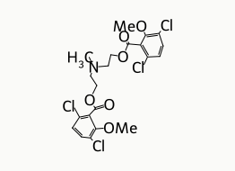 COc1c(Cl)ccc(Cl)c1C(=O)OCCN(C)CCOC(=O)c1c(Cl)ccc(Cl)c1OC